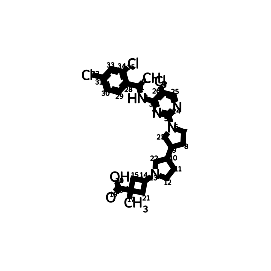 CC(Nc1nc(N2CCC(C3CCN(C4CC(C)(C(=O)O)C4)C3)C2)ncc1Cl)c1ccc(Cl)cc1Cl